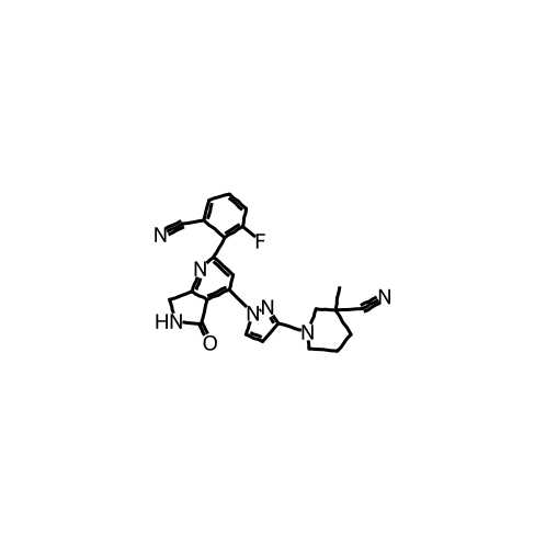 CC1(C#N)CCCN(c2ccn(-c3cc(-c4c(F)cccc4C#N)nc4c3C(=O)NC4)n2)C1